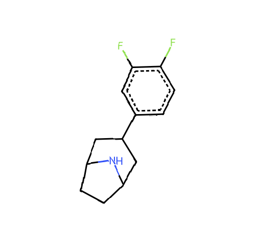 Fc1ccc(C2CC3CCC(C2)N3)cc1F